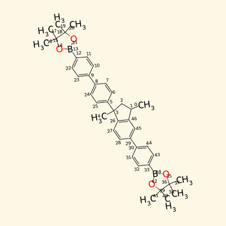 CC1CC(C)(c2ccc(-c3ccc(B4OC(C)(C)C(C)(C)O4)cc3)cc2)c2ccc(-c3ccc(B4OC(C)(C)C(C)(C)O4)cc3)cc21